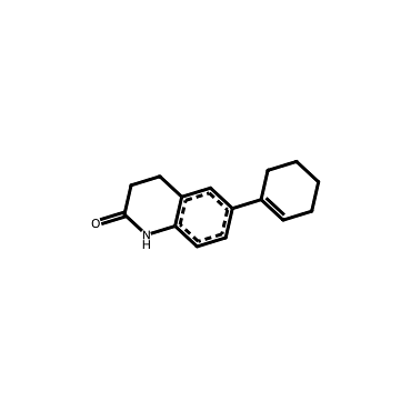 O=C1CCc2cc(C3=CCCCC3)ccc2N1